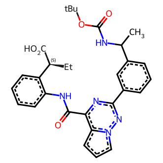 CC[C@H](C(=O)O)c1ccccc1NC(=O)c1nc(-c2cccc(C(C)NC(=O)OC(C)(C)C)c2)nn2cccc12